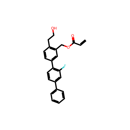 C=CC(=O)OCc1cc(-c2ccc(-c3ccccc3)cc2F)ccc1CCO